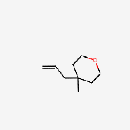 C=CCC1(C)CCOCC1